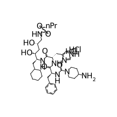 CCCS(=O)(=O)NC[C@@H](O)C[C@H](O)[C@H](CC1CCCCC1)NC(=O)[C@H](Cc1c[nH]cn1)NC(=O)[C@H](Cc1ccccc1)NC(=O)N1CCC(N)CC1.Cl.Cl